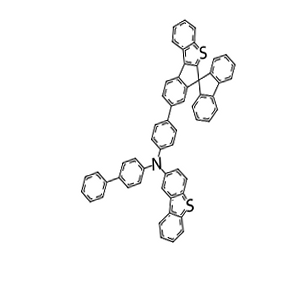 c1ccc(-c2ccc(N(c3ccc(-c4ccc5c(c4)C4(c6ccccc6-c6ccccc64)c4sc6ccccc6c4-5)cc3)c3ccc4sc5ccccc5c4c3)cc2)cc1